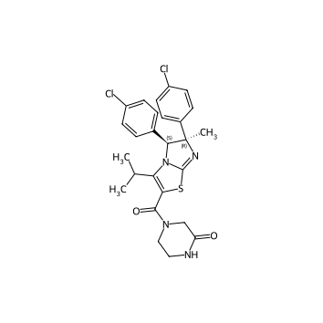 CC(C)C1=C(C(=O)N2CCNC(=O)C2)SC2=N[C@](C)(c3ccc(Cl)cc3)[C@H](c3ccc(Cl)cc3)N21